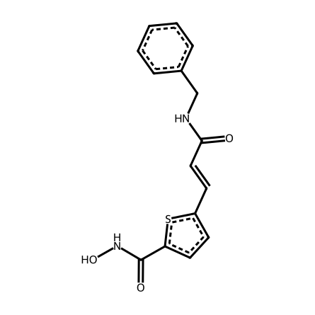 O=C(C=Cc1ccc(C(=O)NO)s1)NCc1ccccc1